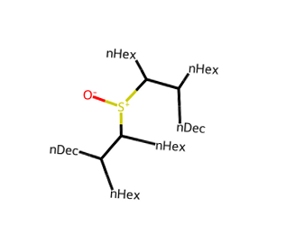 CCCCCCCCCCC(CCCCCC)C(CCCCCC)[S+]([O-])C(CCCCCC)C(CCCCCC)CCCCCCCCCC